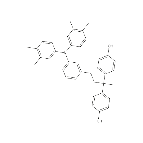 Cc1ccc(N(c2cccc(CCC(C)(c3ccc(O)cc3)c3ccc(O)cc3)c2)c2ccc(C)c(C)c2)cc1C